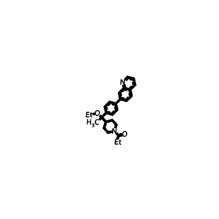 CCOC(C)(c1ccc(-c2ccc3cccnc3c2)cc1)C1CCN(C(=O)CC)CC1